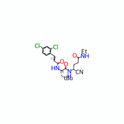 CCNC(=O)CCC(C#N)NC(=O)[C@H](CC(C)(C)C)NC(=O)/C=C/c1ccc(Cl)cc1Cl